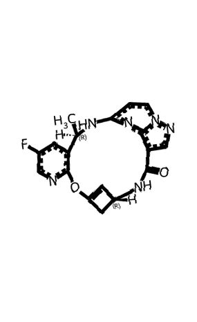 C[C@H]1Nc2ccn3ncc(c3n2)C(=O)N[C@H]2C=C(C2)Oc2ncc(F)cc21